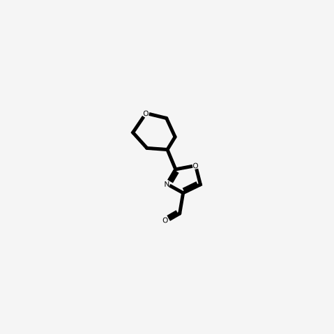 O=Cc1coc(C2CCOCC2)n1